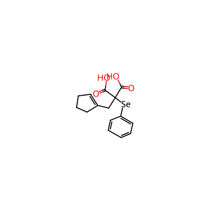 O=C(O)C(CC1=CCCC1)([Se]c1ccccc1)C(=O)O